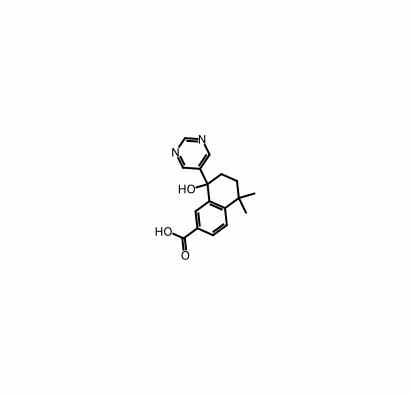 CC1(C)CCC(O)(c2cncnc2)c2cc(C(=O)O)ccc21